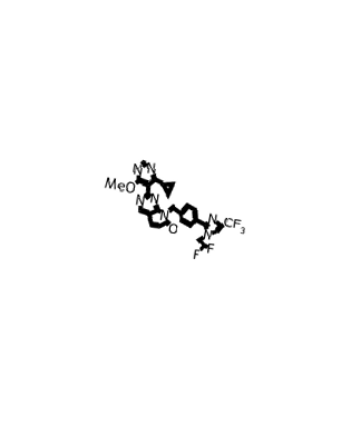 COc1ncnc(C2CC2)c1-c1ncc2ccc(=O)n(Cc3ccc(-c4nc(C(F)(F)F)cn4CC(F)F)cc3)c2n1